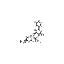 CN(C=C1C(=O)CC(c2ccccc2)CC1=O)Cc1ccc(N)cc1